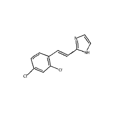 Clc1ccc(C=Cc2ncc[nH]2)c(Cl)c1